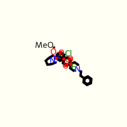 COCOc1ccc(S(=O)(=O)C2CCN(CCc3ccccc3)CC2)cc1N1C2CCC1CN(C(=O)c1ccc(F)cc1Cl)C2